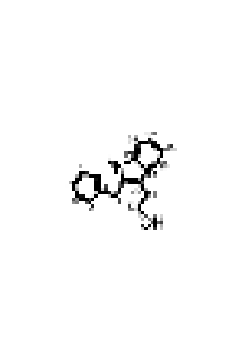 Cn1c(Cc2ccccc2)c(CCO)c2ccccc21